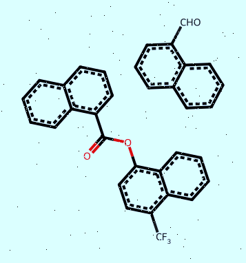 O=C(Oc1ccc(C(F)(F)F)c2ccccc12)c1cccc2ccccc12.O=Cc1cccc2ccccc12